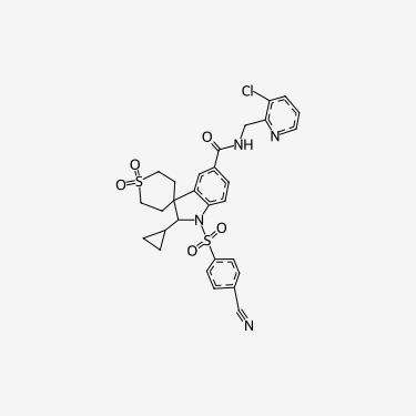 N#Cc1ccc(S(=O)(=O)N2c3ccc(C(=O)NCc4ncccc4Cl)cc3C3(CCS(=O)(=O)CC3)C2C2CC2)cc1